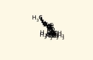 CCCCCc1ccc(-c2cc(F)c(C(F)(F)Oc3cc(C(C)(C)C)c(O)c(C(C)(C)C)c3)c(F)c2)cc1